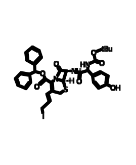 CC(C)(C)OC(=O)NC(C(=O)N[C@@H]1C(=O)N2C(C(=O)OC(c3ccccc3)c3ccccc3)=C(/C=C/CI)CS[C@H]12)c1ccc(O)cc1